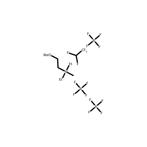 CC[N+](C)(CC)CCOC.FC(F)C(F)(F)F.F[B-](F)(F)F.F[B-](F)(F)F.F[B-](F)(F)F